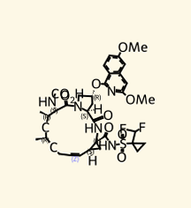 COc1ccc2c(O[C@@H]3C[C@H]4C(=O)N[C@]5(C(=O)NS(=O)(=O)C6(C(F)F)CC6)C[C@H]5/C=C\CC[C@@H](C)C[C@@H](C)[C@H](NC(=O)O)C(=O)N4C3)nc(OC)cc2c1